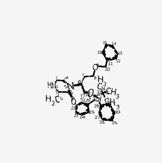 C[C@@H]1NCCN([C@@H](CCOCc2ccccc2)CO[Si](c2ccccc2)(c2ccccc2)C(C)(C)C)C1=O